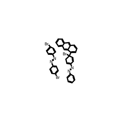 BrC1(c2cccc3cc4ccccc4cc23)C=CC(N=Nc2ccccc2)=CC1.Brc1ccc(N=Nc2ccc(Br)cc2)cc1